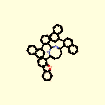 C1=C(/c2cccc3c2oc2ccccc23)NC(c2ccccc2-c2cccc3ccccc23)/N=C(/c2c(-c3cccc4ccccc34)ccc3ccccc23)CC/1